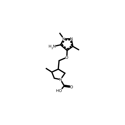 Cc1nn(C)c(N)c1OCC1CN(C(=O)O)CC1C